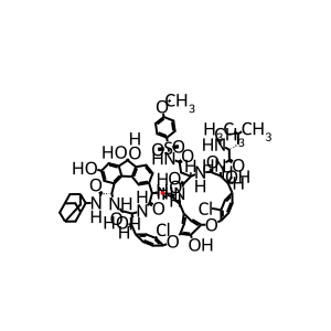 CN[C@H](CC(C)C)C(=O)N[C@H]1C(=O)N[C@@H](CC(=O)NS(=O)(=O)c2ccc(OC)cc2)C(=O)N[C@H]2C(=O)N[C@H]3C(=O)N[C@H](C(=O)N[C@H](C(=O)NC4C5CC6CC(C5)CC4C6)c4cc(O)cc5c4-c4cc3ccc4C5(O)O)[C@H](O)c3ccc(c(Cl)c3)Oc3cc2cc(c3O)Oc2ccc(cc2Cl)[C@H]1O